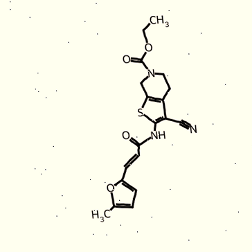 CCOC(=O)N1CCc2c(sc(NC(=O)C=Cc3ccc(C)o3)c2C#N)C1